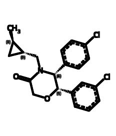 C[C@@H]1C[C@H]1CN1C(=O)CO[C@@H](c2cccc(Cl)c2)[C@H]1c1ccc(Cl)cc1